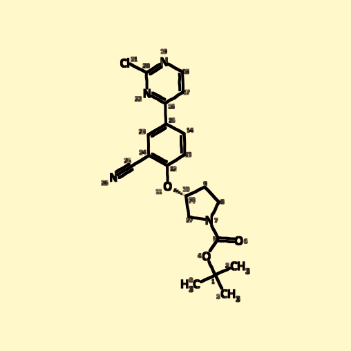 CC(C)(C)OC(=O)N1CC[C@@H](Oc2ccc(-c3ccnc(Cl)n3)cc2C#N)C1